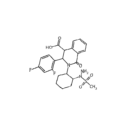 CS(=O)(=O)N(N)C1CCCCC1N1C(=O)c2ccccc2C(C(=O)O)C1c1ccc(F)cc1F